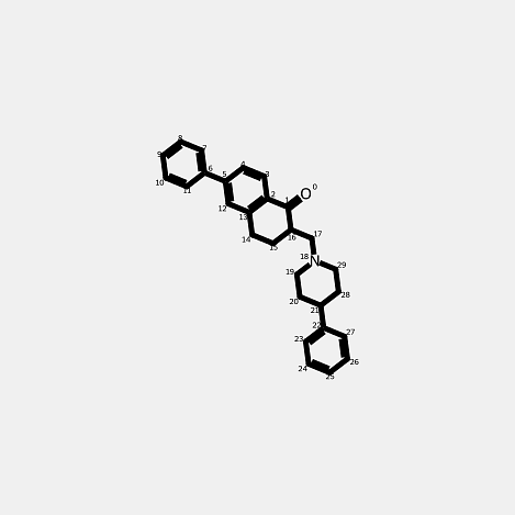 O=C1c2ccc(-c3ccccc3)cc2CCC1CN1CCC(c2ccccc2)CC1